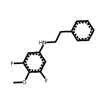 COc1c(F)cc(NCCc2ccccc2)cc1F